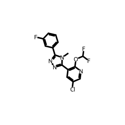 Cn1c(-c2cccc(F)c2)nnc1-c1cc(Cl)cnc1OC(F)F